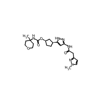 Cn1ccc(CC(=O)Nc2cc([C@H]3CC[C@@H](OC(=O)NC4(C)CCOCC4)C3)[nH]n2)n1